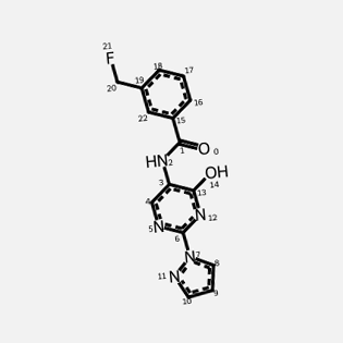 O=C(Nc1cnc(-n2cccn2)nc1O)c1cccc(CF)c1